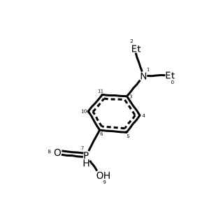 CCN(CC)c1ccc([PH](=O)O)cc1